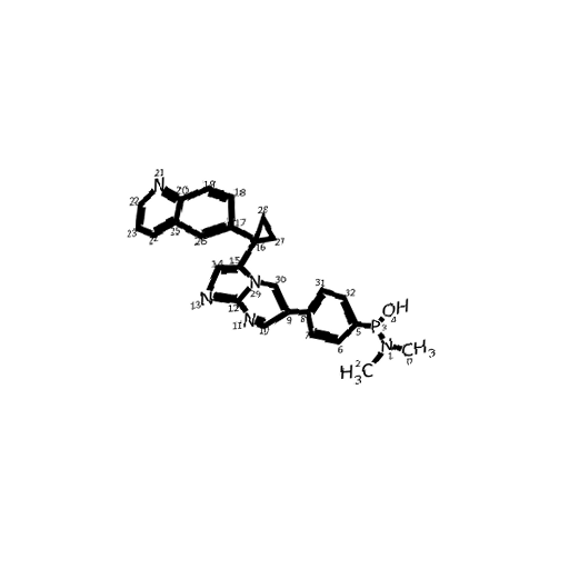 CN(C)P(O)c1ccc(-c2cnc3ncc(C4(c5ccc6ncccc6c5)CC4)n3c2)cc1